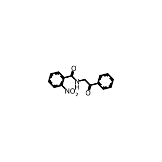 O=C(CNC(=O)c1ccccc1[N+](=O)[O-])c1ccccc1